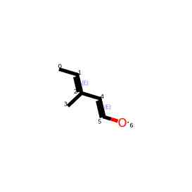 C/C=C(C)/C=C/[O]